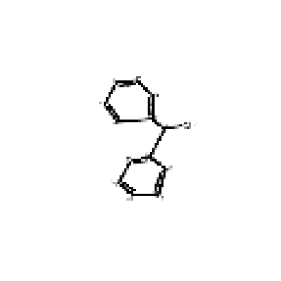 Cl[C](c1ccccc1)c1ccccc1